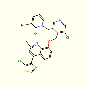 Cc1cc(-c2ncsc2Cl)c2cccc(OCc3c(Cl)cncc3Cn3cccc(C#N)c3=O)c2n1